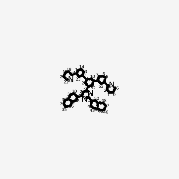 c1ccc(-c2cccc(-c3cc(-c4cccc(-c5ccccn5)c4)cc(-c4cc(-c5ccc6ccccc6c5)nc(-c5ccc6ccccc6c5)n4)c3)c2)nc1